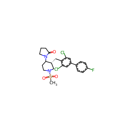 CS(=O)(=O)N1CCC(N2CCCC2=O)[C@H](Cc2c(Cl)cc(-c3ccc(F)cc3)cc2Cl)C1